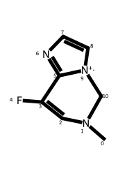 CN1C=C(F)C2=N[C]=C[N+]2C1